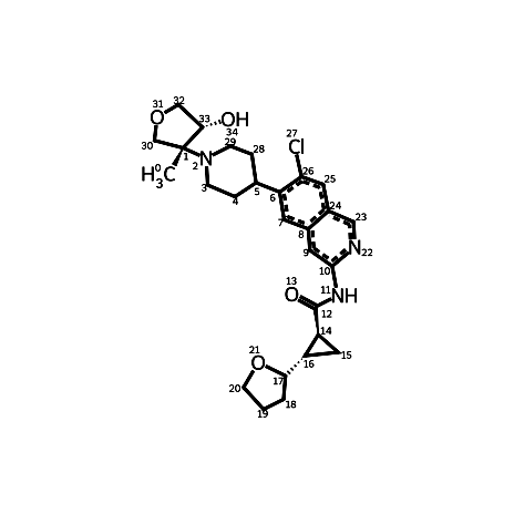 C[C@@]1(N2CCC(c3cc4cc(NC(=O)[C@H]5C[C@@H]5C5CCCO5)ncc4cc3Cl)CC2)COC[C@@H]1O